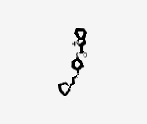 O=C(Oc1ccc(OCCN2CCCCC2)cc1)c1cc2ccccc2[nH]1